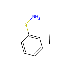 CC.NSc1ccccc1